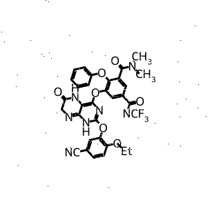 CCOc1ccc(C#N)cc1OC1=NC(Oc2cc(C(=O)NC(F)(F)F)cc(C(=O)N(C)C)c2Oc2ccccc2)=C2NC(=O)CN=C2N1